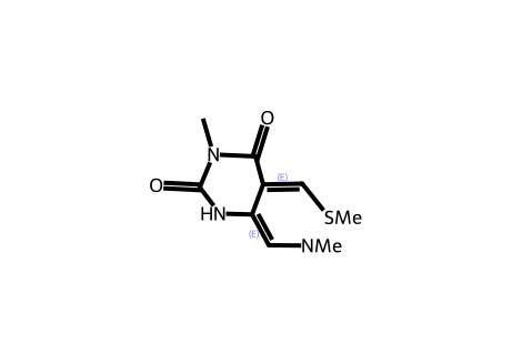 CN/C=c1/[nH]c(=O)n(C)c(=O)/c1=C/SC